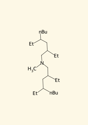 CCCCC(CC)CC(CC)CN(C)CC(CC)CC(CC)CCCC